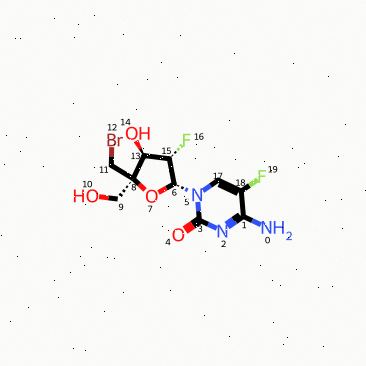 Nc1nc(=O)n([C@@H]2O[C@@](CO)(CBr)[C@@H](O)[C@@H]2F)cc1F